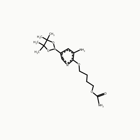 CC1(C)OB(c2cnc(OCCCCOC(N)=O)c(N)c2)OC1(C)C